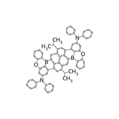 CC(C)c1cc2c3c(cc4c(C(C)C)cc5c6c(cc1c3c46)B1c3ccccc3Oc3cc(N(c4ccccc4)c4ccccc4)cc-5c31)B1c3ccccc3Oc3cc(N(c4ccccc4)c4ccccc4)cc-2c31